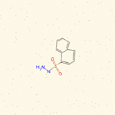 N[N]S(=O)(=O)c1cccc2ccccc12